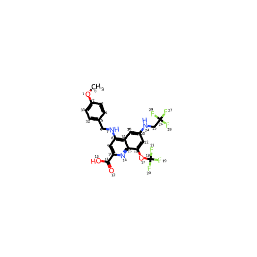 COc1ccc(CNc2cc(C(=O)O)nc3c(OC(F)(F)F)cc(NCC(F)(F)F)cc23)cc1